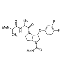 CNC(=O)N1CC(Oc2ccc(F)c(F)c2)C2C1CCN2C(=O)C(NC(=O)C(C)NC)C(C)(C)C